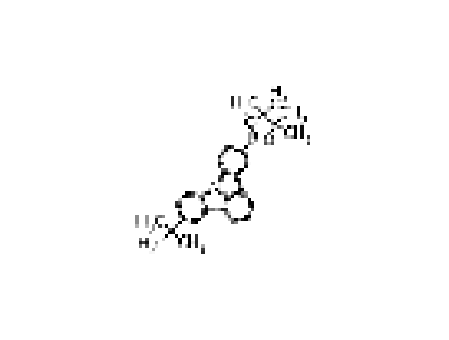 CC(C)(C)c1ccc2c(c1)c1cccc3c4cc(B5OC(C)(C)C(C)(C)O5)ccc4n2c31